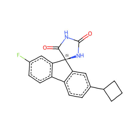 O=C1NC(=O)[C@@]2(N1)c1cc(F)ccc1-c1ccc(C3CCC3)cc12